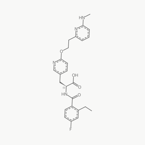 CCc1cc(F)ccc1C(=O)N[C@@H](Cc1ccc(OCCc2cccc(NC)n2)nc1)C(=O)O